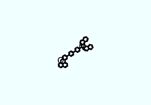 c1cc2c3c(cccc3c1)-c1cc(-c3ccc(-c4ccc(-n5c6ccc7ccccc7c6c6c7ccccc7ccc65)cc4)cc3)ccc1O2